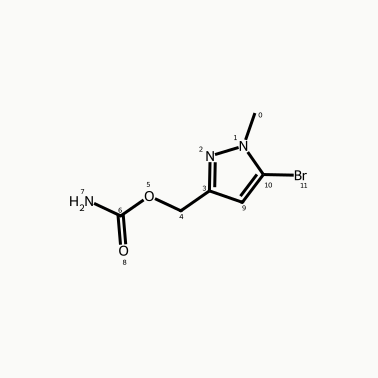 Cn1nc(COC(N)=O)cc1Br